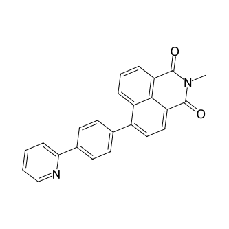 CN1C(=O)c2cccc3c(-c4ccc(-c5ccccn5)cc4)ccc(c23)C1=O